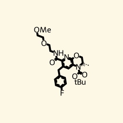 COCCOCCNC(=O)c1nc2c(cc1Cc1ccc(F)cc1)N(C(=O)OC(C)(C)C)[C@@H](C)CO2